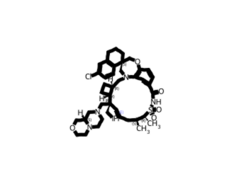 CC(C)C[C@]1(CN2CCN3CCOC[C@@H]3C2)/C=C/C[C@H](C)[C@@H](C)S(=O)(=O)NC(=O)c2ccc3c(c2)N(C[C@@H]2CC[C@H]21)C[C@@]1(CCCc2cc(Cl)ccc21)CO3